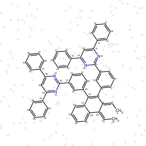 C/C=c1/c(-c2cccc(-c3nc(-c4ccccc4)cc(-c4ccccc4)n3)c2)c(-c2cccc(-c3nc(-c4ccccc4)cc(-c4ccccc4)n3)c2)c2ccccc2/c1=C/C